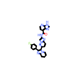 O=C(Nc1cn2nc(-c3c(-c4ccc(F)cc4)nc4ccccn34)ccc2n1)c1ccnc2[nH]cnc12